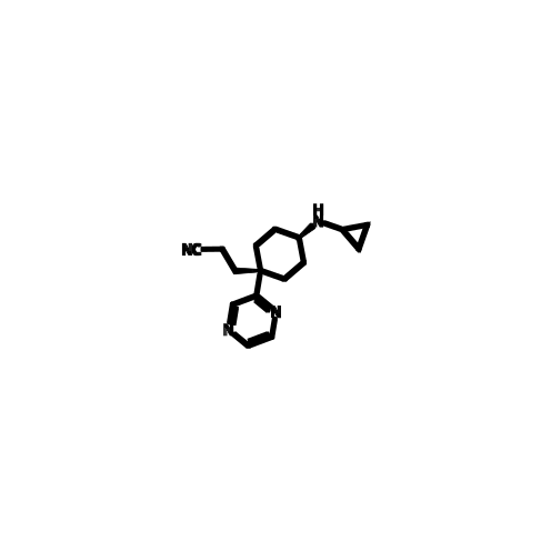 N#CCC[C@]1(c2cnccn2)CC[C@H](NC2CC2)CC1